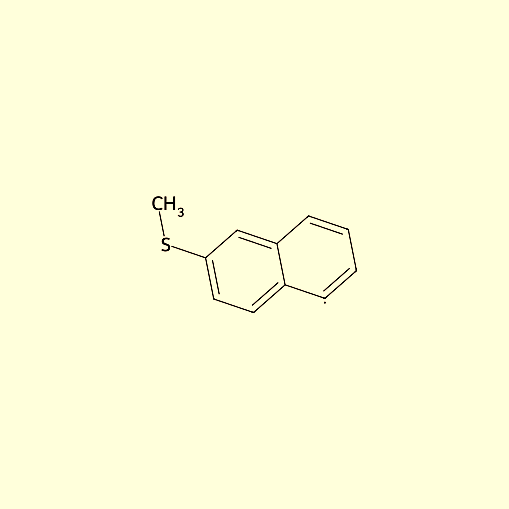 CSc1ccc2[c]cccc2c1